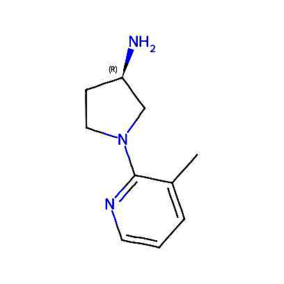 Cc1cccnc1N1CC[C@@H](N)C1